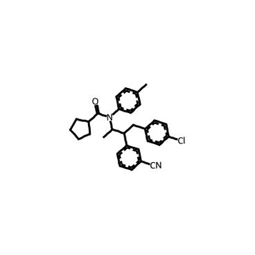 Cc1ccc(N(C(=O)C2CCCC2)C(C)C(Cc2ccc(Cl)cc2)c2cccc(C#N)c2)cc1